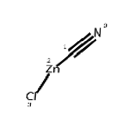 N#[C][Zn][Cl]